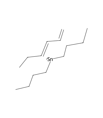 C=CC=CCC.CCC[CH2][Sn][CH2]CCC